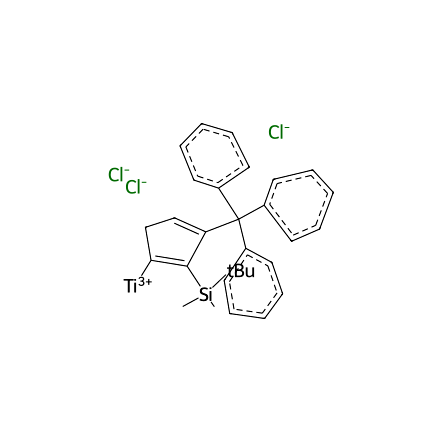 CC(C)(C)[Si](C)(C)C1=[C]([Ti+3])CC=C1C(c1ccccc1)(c1ccccc1)c1ccccc1.[Cl-].[Cl-].[Cl-]